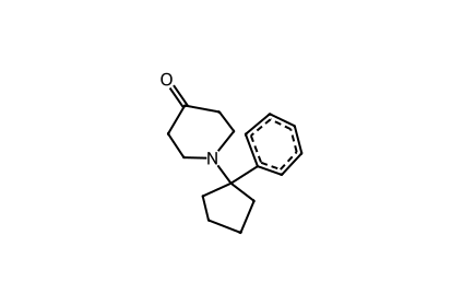 O=C1CCN(C2(c3ccccc3)CCCC2)CC1